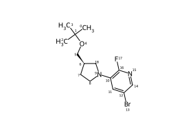 CC(C)(C)OC[C@@H]1CCN(c2cc(Br)cnc2F)C1